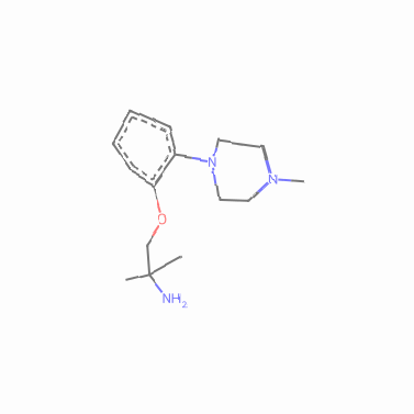 CN1CCN(c2ccccc2OCC(C)(C)N)CC1